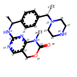 CC[C@@H](c1ccc([C@H](C)Nc2ncc3c(n2)N(CC)C(=O)OC3)cc1)N1CCNCC1